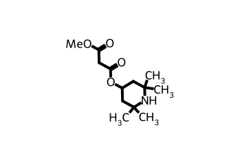 COC(=O)CC(=O)OC1CC(C)(C)NC(C)(C)C1